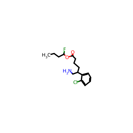 CCCC(F)OC(=O)CCCC(CN)c1ccccc1Cl